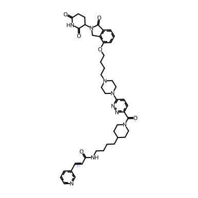 O=C(/C=C/c1cccnc1)NCCCCC1CCN(C(=O)c2ccc(N3CCN(CCCCOc4cccc5c4CN(C4CCC(=O)NC4=O)C5=O)CC3)nn2)CC1